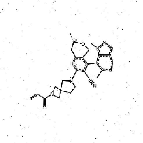 C=CC(=O)N1CC2(CCN(c3nc4c(c(-c5c(C)ccc6cnn(C)c56)c3C#N)CO[C@@H](C)C4)C2)C1